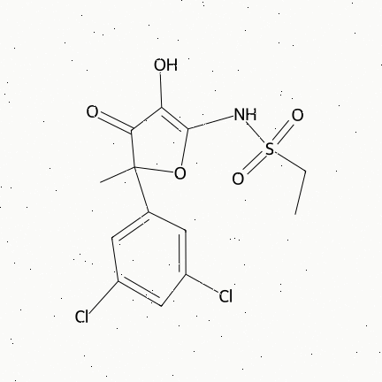 CCS(=O)(=O)NC1=C(O)C(=O)C(C)(c2cc(Cl)cc(Cl)c2)O1